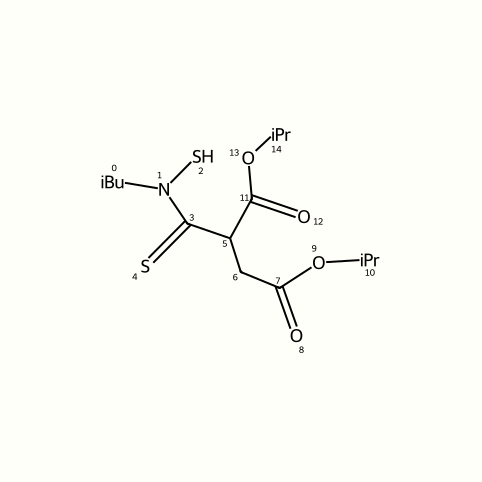 CCC(C)N(S)C(=S)C(CC(=O)OC(C)C)C(=O)OC(C)C